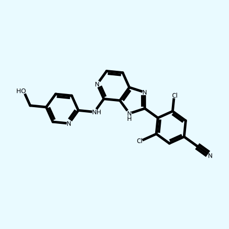 N#Cc1cc(Cl)c(-c2nc3ccnc(Nc4ccc(CO)cn4)c3[nH]2)c(Cl)c1